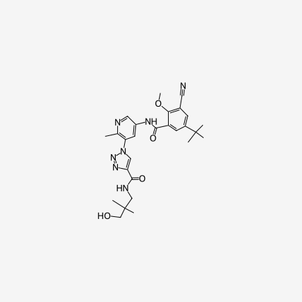 COc1c(C#N)cc(C(C)(C)C)cc1C(=O)Nc1cnc(C)c(-n2cc(C(=O)NCC(C)(C)CO)nn2)c1